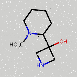 O=C(O)N1CCCCC1C1(O)CNC1